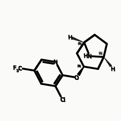 FC(F)(F)c1cnc(O[C@H]2C[C@H]3CC[C@@H](C2)N3)c(Cl)c1